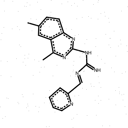 Cc1ccc2nc(NC(=N)N=Cc3ccccn3)nc(C)c2c1